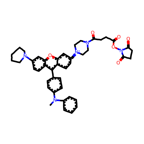 CN(c1ccccc1)c1ccc(-c2c3ccc(=[N+]4CCN(C(=O)CCC(=O)ON5C(=O)CCC5=O)CC4)cc-3oc3cc(N4CCCCC4)ccc23)cc1